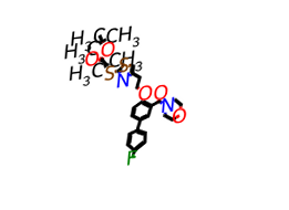 CC(C)(C)OC(=O)C(C)(C)Sc1nc(CCOc2ccc(-c3ccc(F)cc3)cc2C(=O)N2CCOCC2)cs1